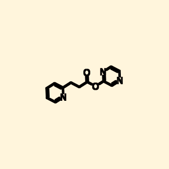 O=C(CCc1ccccn1)Oc1cnccn1